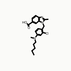 CCCCCN(C)c1ccc(Cn2c(C)nc3ccc(C(=O)O)cc32)c(Cl)c1